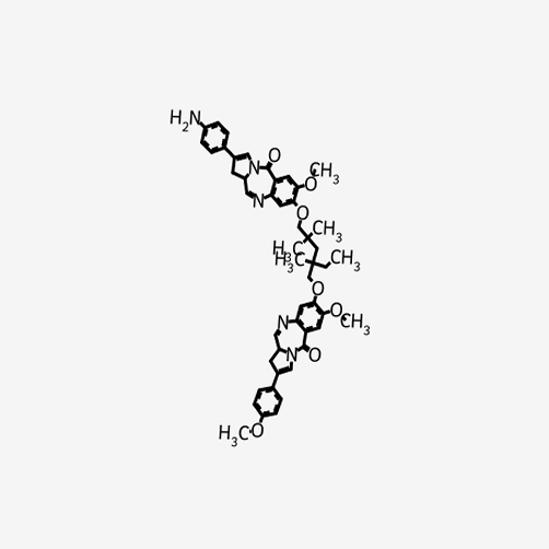 CCC(C)(COc1cc2c(cc1OC)C(=O)N1C=C(c3ccc(OC)cc3)CC1C=N2)CC(C)(C)COc1cc2c(cc1OC)C(=O)N1C=C(c3ccc(N)cc3)CC1C=N2